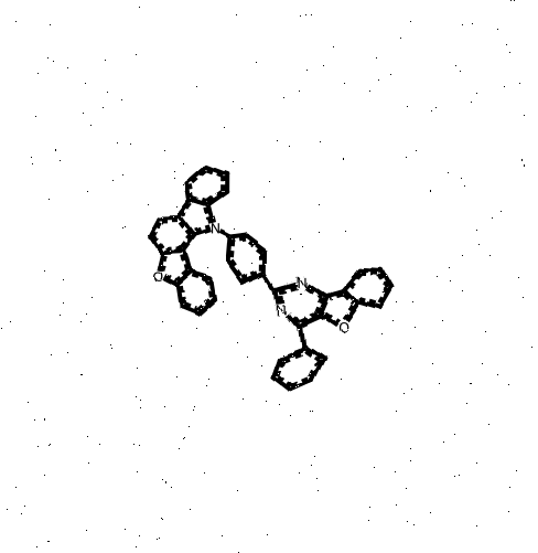 c1ccc(-c2nc(-c3ccc(-n4c5ccccc5c5ccc6oc7ccccc7c6c54)cc3)nc3c2oc2ccccc23)cc1